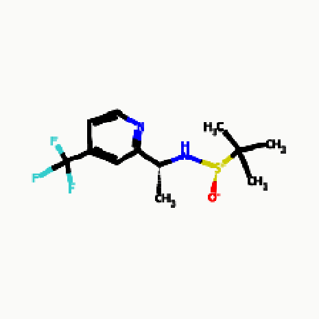 C[C@@H](N[S@+]([O-])C(C)(C)C)c1cc(C(F)(F)F)ccn1